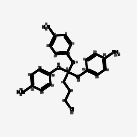 Nc1ccc(O[Si](CCCCl)(Oc2ccc(N)cc2)Oc2ccc(N)cc2)cc1